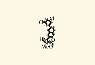 COCCOc1cc2ccc(-c3cc(Cl)cc(Cl)c3)cc2cc1C1=NCCN1